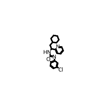 Clc1ccc2oc(NC(CC3CCCCC3)c3ccccn3)nc2c1